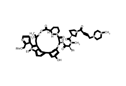 CCn1c(-c2cccnc2COC)c2c3cc(ccc31)-c1cc(O)cc(c1)C[C@H](NC(=O)[C@H](C(C)C)N(C)C(=O)[C@H]1CCN(C(=O)C#CCN3CCN(C)CC3)C1)C(=O)N1CCC[C@H](N1)C(=O)OCC(C)(C)C2